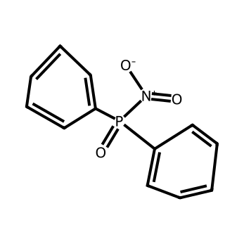 O=[N+]([O-])P(=O)(c1ccccc1)c1ccccc1